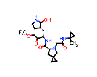 CC1(NC(=O)CN2CC3(CC3)C[C@H]2C(=O)N[C@@H](C[C@@H]2CCNC2O)C(=O)COC(F)(F)F)CC1